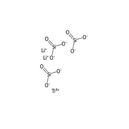 O=[Si]([O-])[O-].O=[Si]([O-])[O-].O=[Si]([O-])[O-].[Li+].[Li+].[Ti+4]